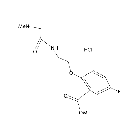 CNCC(=O)NCCOc1ccc(F)cc1C(=O)OC.Cl